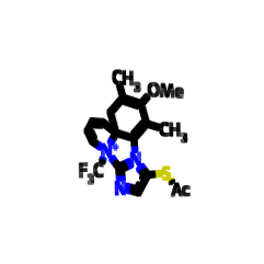 COC1=C(C)CC23C=CC=C[N+]2(C(F)(F)F)c2ncc(SC(C)=O)n2C3=C1C